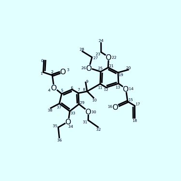 C=CC(=O)Oc1cc(C(C)(C)c2cc(OC(=O)C=C)c(C)c(OCC)c2OCC)c(OCC)c(OCC)c1C